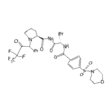 CC(C)C(C(=O)C(F)(F)C(F)(F)F)N1CCC[C@H]1C(=O)NC(=O)[C@@H](NC(=O)c1ccc(S(=O)(=O)N2CCOCC2)cc1)C(C)C